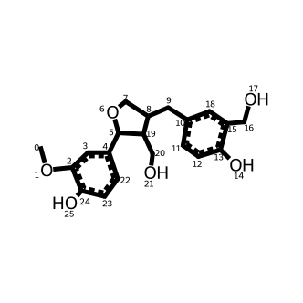 COc1cc(C2OCC(Cc3ccc(O)c(CO)c3)C2CO)ccc1O